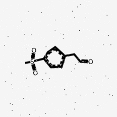 CS(=O)(=O)c1ccc(C[C]=O)cc1